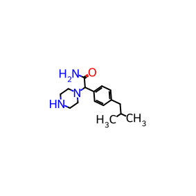 CC(C)Cc1ccc(C(C(N)=O)N2CCNCC2)cc1